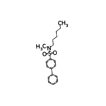 CCCCCCN(C)S(=O)(=O)c1ccc(-c2ccccc2)cc1